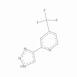 FC(F)(F)c1ccnc(-c2c[nH]nn2)c1